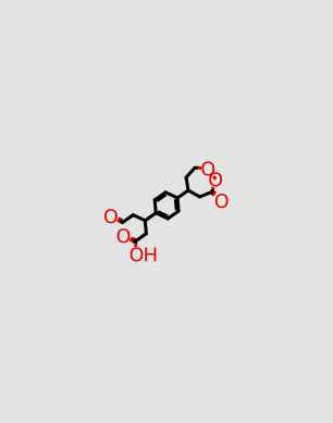 O=CCC(CC(=O)O)c1ccc(C2CCOOC(=O)C2)cc1